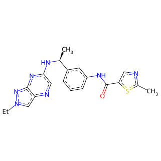 CCn1cc2ncc(N[C@@H](C)c3cccc(NC(=O)c4cnc(C)s4)c3)nc2n1